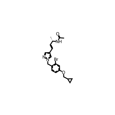 CC(=O)N[C@@H](C)/C=C/c1cnn(Cc2ccc(OCC3CC3)cc2Br)c1